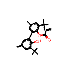 C=CC(=O)Oc1c(-c2cc(C)cc(C(C)(C)C)c2O)cc(C)cc1C(C)(C)C